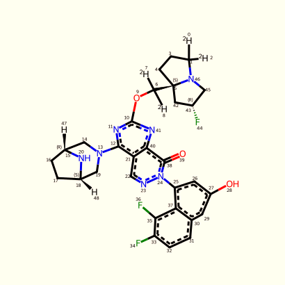 [2H]C1([2H])CC[C@@]2(C([2H])([2H])Oc3nc(N4C[C@H]5CC[C@@H](C4)N5)c4cnn(-c5cc(O)cc6ccc(F)c(F)c56)c(=O)c4n3)C[C@@H](F)CN12